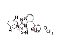 Cc1cc(N2C[C@H]3CC[C@@H](C2)C3Nc2nc3c(-c4cccc(OC(F)(F)F)c4)cccn3n2)sn1